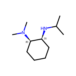 CC(C)N[C@H]1CCCC[C@H]1N(C)C